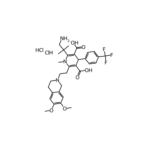 COc1cc2c(cc1OC)CN(CCC1=C(C(=O)O)C(c3ccc(C(F)(F)F)cc3)C(C(=O)O)=C(C(C)(C)CN)N1C)CC2.Cl.Cl